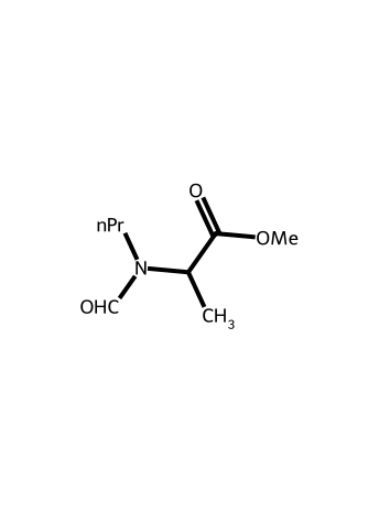 CCCN(C=O)C(C)C(=O)OC